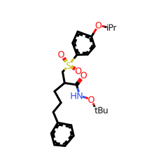 CC(C)Oc1ccc(S(=O)(=O)CC(CCCc2ccccc2)C(=O)NOC(C)(C)C)cc1